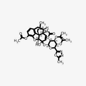 CC(=O)Oc1ccc2c3c1O[C@@H]1[C@]34CCN(C)[C@H](C2)[C@@H]4C=C[C@]1(O)O[C@H]1OC(c2nnc(C)o2)[C@@H](OC(C)=O)[C@H](OC(C)=O)[C@H]1OC(C)=O